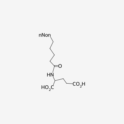 CCCCCCCCCCCCCC(=O)NC(CCC(=O)O)C(=O)O